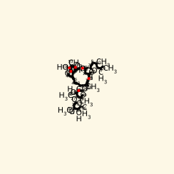 CC[C@H](C)C1O[C@]2(C=C[C@@H]1C)C[C@@H]1C[C@@H](C/C=C(\C)C(O[C@H]3C[C@H](OC)C(O[C@H]4C[C@H](OC)[C@@H](O)[C@H](C)O4)[C@H](C)O3)[C@@H](C)/C=C/C=C3\CO[C@@H]4[C@H](O)C(C)C[C@@H](C(=O)O1)[C@]34O)O2